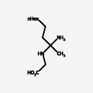 CCCCCCCCC(C)(N)NCC(=O)O